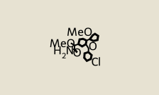 COc1cccc2c1-c1ccc(C(OC)C(N)=O)cc1C(c1cccc(Cl)c1)O2